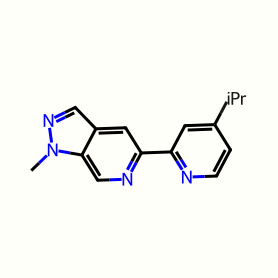 CC(C)c1ccnc(-c2cc3cnn(C)c3cn2)c1